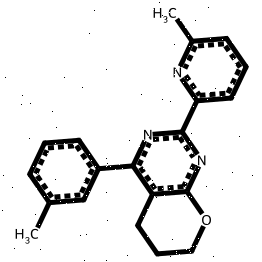 Cc1cccc(-c2nc(-c3cccc(C)n3)nc3c2CCCO3)c1